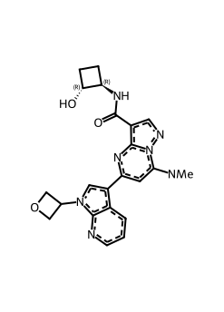 CNc1cc(-c2cn(C3COC3)c3ncccc23)nc2c(C(=O)N[C@@H]3CC[C@H]3O)cnn12